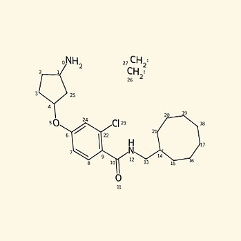 NC1CCC(Oc2ccc(C(=O)NC[C]3CCCCCCC3)c(Cl)c2)C1.[CH2].[CH2]